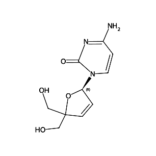 Nc1ccn([C@H]2C=CC(CO)(CO)O2)c(=O)n1